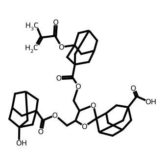 C=C(C)C(=O)OC12CC3CC(C1)CC(C(=O)OCC1OC4(OC1COC(=O)C15CC6CC(CC(O)(C6)C1)C5)C1CC5CC4CC(C(=O)O)(C5)C1)(C3)C2